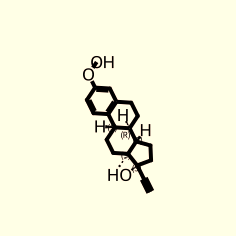 C#C[C@]1(O)CC[C@H]2[C@@H]3CCc4cc(OO)ccc4[C@H]3CC[C@@]21C